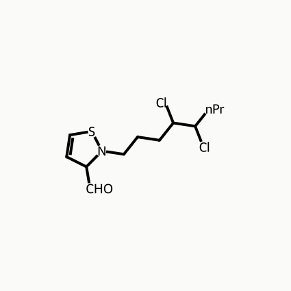 CCCC(Cl)C(Cl)CCCN1SC=CC1C=O